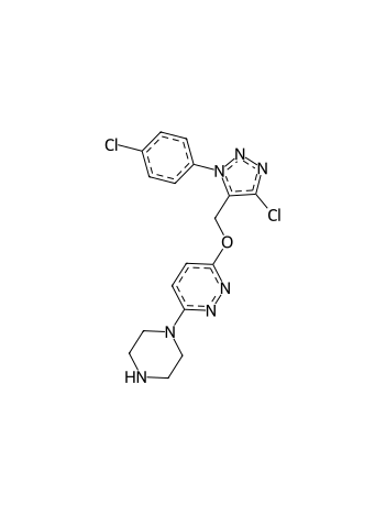 Clc1ccc(-n2nnc(Cl)c2COc2ccc(N3CCNCC3)nn2)cc1